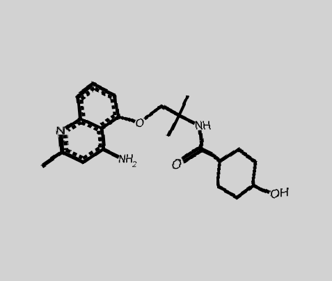 Cc1cc(N)c2c(OCC(C)(C)NC(=O)C3CCC(O)CC3)cccc2n1